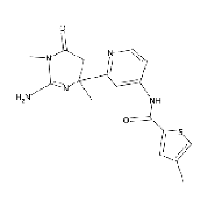 Cc1csc(C(=O)Nc2ccnc(C3(C)CC(=O)N(C)C(N)=N3)c2)c1